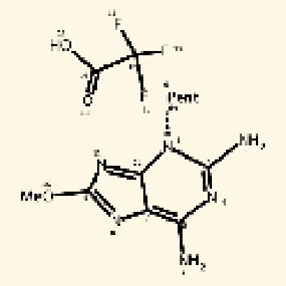 CCC[C@@H](C)n1c(N)nc(N)c2nc(OC)nc1-2.O=C(O)C(F)(F)F